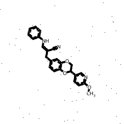 COc1ccc(C2COc3cc(CC(C#N)=CNc4ccccc4)ccc3O2)cn1